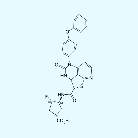 O=C(N[C@H]1CN(C(=O)O)C[C@@H]1F)C1Sc2nccc3c2C1NC(=O)N3c1ccc(Oc2ccccc2)cc1